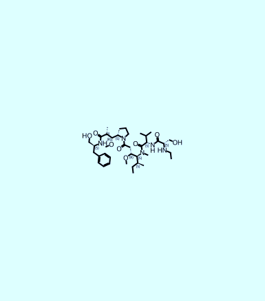 CCN[C@@H](CO)C(=O)N[C@H](C(=O)N(C)[C@@H]([C@@H](C)CC)[C@@H](CC(=O)N1CCC[C@H]1[C@H](OC)[C@@H](C)C(=O)N[C@H](CO)Cc1ccccc1)OC)C(C)C